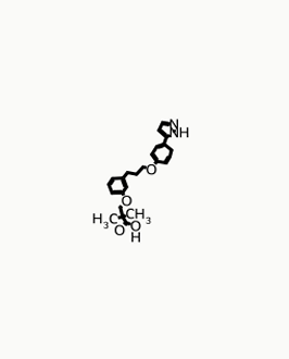 CC(C)(COc1cccc(CCCOC2=CC=C(c3ccn[nH]3)CC=C2)c1)C(=O)O